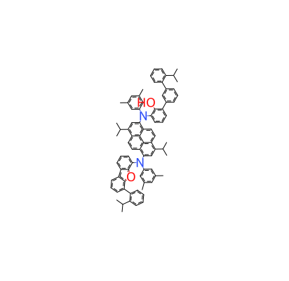 Cc1cc(C)cc(N(c2cccc(-c3cccc(-c4ccccc4C(C)C)c3)c2O)c2cc(C(C)C)c3ccc4c(N(c5cc(C)cc(C)c5)c5cccc6c5oc5c(-c7ccccc7C(C)C)cccc56)cc(C(C)C)c5ccc2c3c54)c1